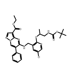 CCOC(=O)c1cnn2cc(-c3ccccc3)c(NCc3cc(Cl)cnc3OC(C)CNC(=O)OC(C)(C)C)nc12